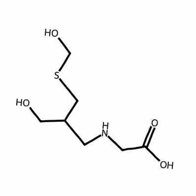 O=C(O)CNCC(CO)CSCO